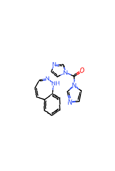 C1=Cc2ccccc2NN=C1.O=C(n1ccnc1)n1ccnc1